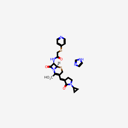 O=C(CSc1ccncc1)N[C@@H]1C(=O)N2C(C(=O)O)=C(/C=C3\CCN(C4CC4)C3=O)CS[C@H]12.c1c[nH]cn1